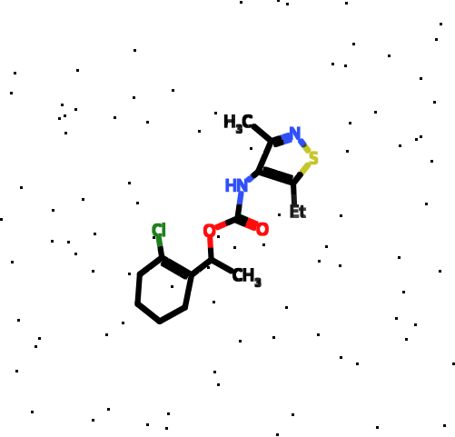 CCc1snc(C)c1NC(=O)OC(C)C1=C(Cl)CCCC1